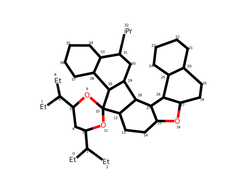 CCC(CC)C1CC(C(CC)CC)OC2(O1)C1CCC3OC4CCC5CCCCC5C4C3C1C1CC(C(C)C)C3CCCCC3C12